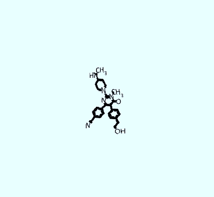 CNC1CCN(c2nc(-c3ccc(C#N)cc3)c(-c3ccc(CCO)cc3)c(=O)n2C)CC1